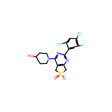 O=S1(=O)Cc2nc(-c3cc(F)c(Cl)cc3F)nc(N3CCC(O)CC3)c2C1